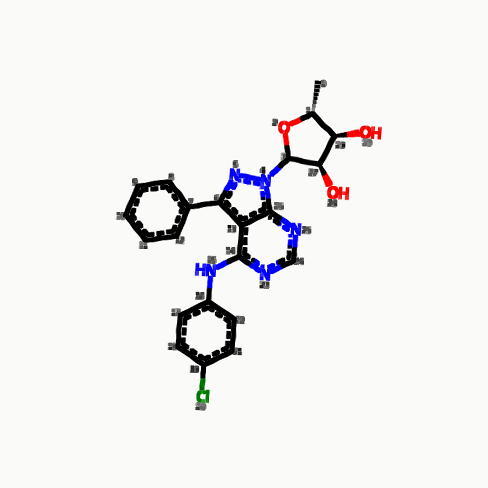 C[C@H]1OC(n2nc(-c3ccccc3)c3c(Nc4ccc(Cl)cc4)ncnc32)[C@H](O)[C@@H]1O